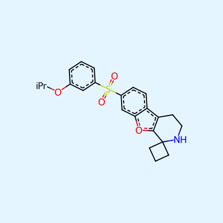 CC(C)Oc1cccc(S(=O)(=O)c2ccc3c4c(oc3c2)C2(CCC2)NCC4)c1